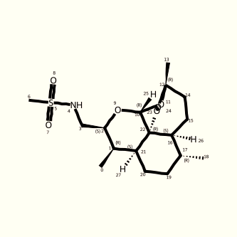 C[C@H]1[C@@H](CNS(C)(=O)=O)O[C@@H]2O[C@@]3(C)CC[C@H]4[C@H](C)CC[C@@H]1[C@@]24OO3